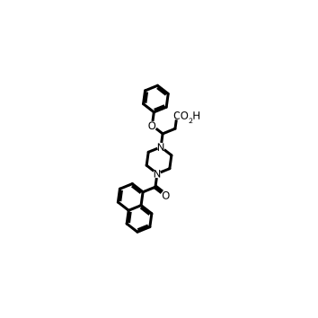 O=C(O)CC(Oc1ccccc1)N1CCN(C(=O)c2cccc3ccccc23)CC1